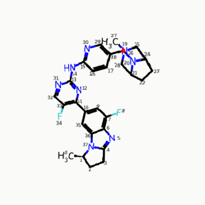 C[C@@H]1CCc2nc3c(F)cc(-c4nc(Nc5ccc(CN6C7CCC6CN(C)C7)cn5)ncc4F)cc3n21